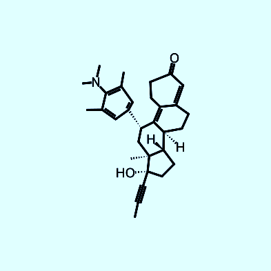 CC#C[C@]1(O)CC[C@H]2[C@@H]3CCC4=CC(=O)CCC4=C3[C@@H](c3cc(C)c(N(C)C)c(C)c3)C[C@@]21C